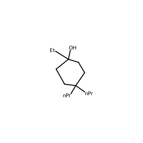 CCCC1(CCC)CCC(O)(CC)CC1